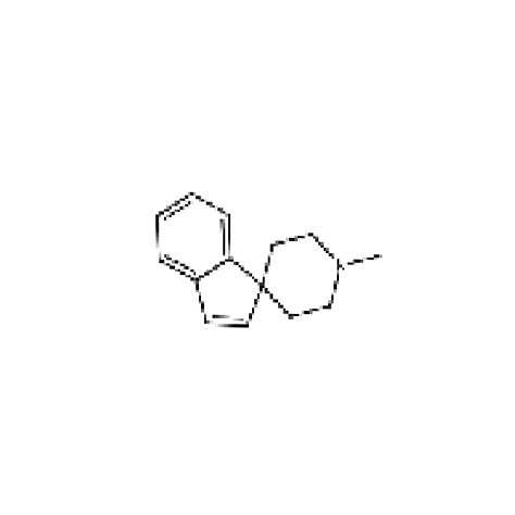 CN1CCC2(C=Cc3ccccc32)CC1